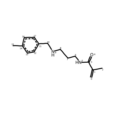 C=C(C)C(=O)NCCCNCc1ccc(C)cc1